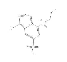 Nc1cccc2c(S(=O)(=O)CCO)cc(S(=O)(=O)O)cc12